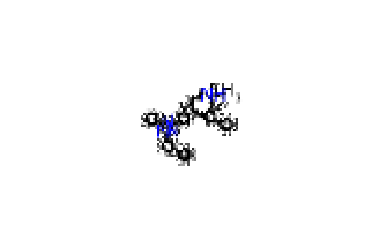 CC1CC=CC2=C1N/C=C/C=C1/Cc3cc(-c4nc(-c5ccccc5)nc(-c5cccc(-c6ccccc6)c5)n4)ccc3/C1=C/c1ccc(-c3ccccc3)cc12